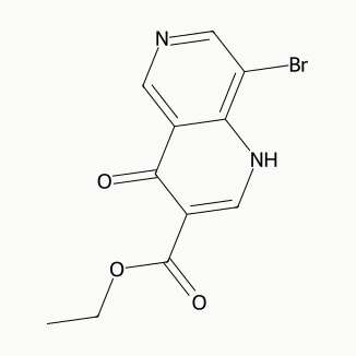 CCOC(=O)c1c[nH]c2c(Br)cncc2c1=O